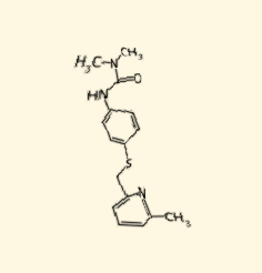 Cc1cccc(CSc2ccc(NC(=O)N(C)C)cc2)n1